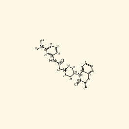 C=C1Cc2ccccc2N(C2CCN(CC(=O)Nc3cccc(N(C)C)c3)CC2)C1=O